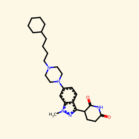 Cn1nc(C2CCC(=O)NC2=O)c2ccc(N3CCN(CCCCC4CCCCC4)CC3)cc21